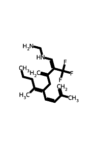 C=C(C)/C=C\C(CC(=C)/C(=C\NCN)C(F)(F)F)=C(/C)CCC